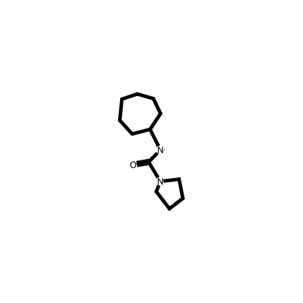 O=C([N]C1CCCCCC1)N1CCCC1